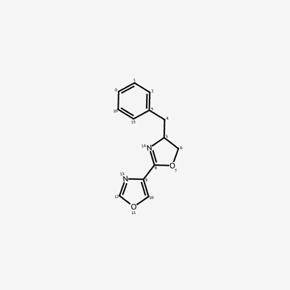 c1ccc(CC2COC(c3cocn3)=N2)cc1